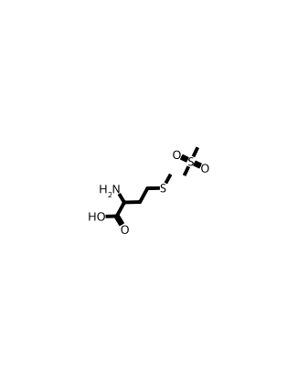 CS(C)(=O)=O.CSCCC(N)C(=O)O